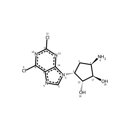 N[C@@H]1C[C@@H](n2cnc3c(Cl)nc(Cl)nc32)[C@@H](O)[C@@H]1O